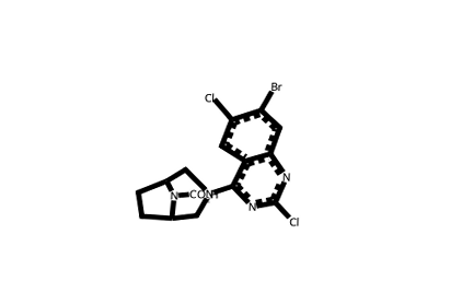 O=C(O)N1C2CCC1CN(c1nc(Cl)nc3cc(Br)c(Cl)cc13)C2